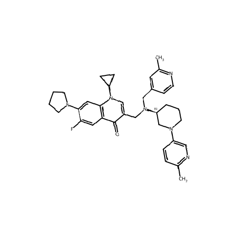 Cc1ccc(N2CCC[C@H](N(Cc3ccnc(C)c3)Cc3cn(C4CC4)c4cc(N5CCCC5)c(F)cc4c3=O)C2)cn1